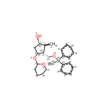 C=C1[C@H](O)C[C@H](OC2CCCCO2)[C@H]1CO[Si](c1ccccc1)(c1ccccc1)C(C)(C)C